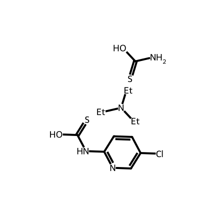 CCN(CC)CC.NC(O)=S.OC(=S)Nc1ccc(Cl)cn1